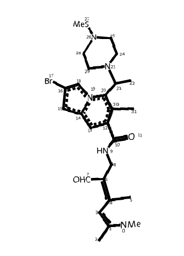 CN/C(C)=C\C(C)=C(/C=O)CNC(=O)c1cc2cc(Br)cn2c(C(C)N2CCN(SC)CC2)c1C